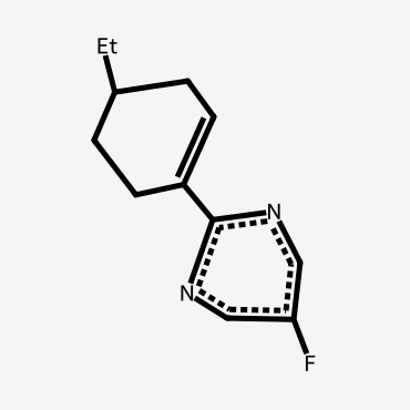 [CH2]CC1CC=C(c2ncc(F)cn2)CC1